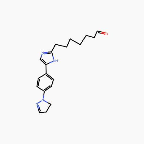 O=CCCCCCCc1ncc(-c2ccc(N3CCC=N3)cc2)[nH]1